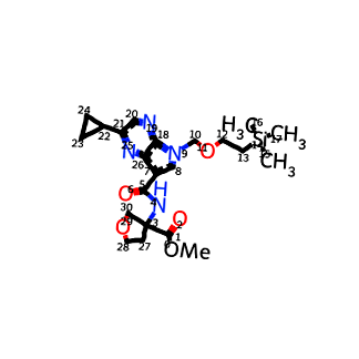 COC(=O)C1(NC(=O)c2cn(COCC[Si](C)(C)C)c3ncc(C4CC4)nc23)CCOC1